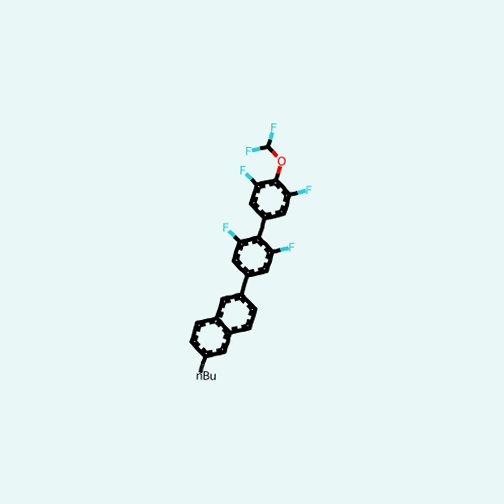 CCCCc1ccc2cc(-c3cc(F)c(-c4cc(F)c(OC(F)F)c(F)c4)c(F)c3)ccc2c1